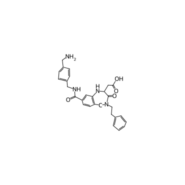 NCc1ccc(CNC(=O)c2ccc3c(c2)NC(CC(=O)O)C(=O)N(CCc2ccccc2)C3)cc1